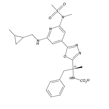 CC1CC1CNc1cc(-c2nnc([C@@](C)(Cc3ccccc3)NC(=O)O)o2)cc(N(C)S(C)(=O)=O)n1